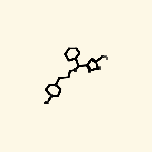 CC(=O)N1CCN(CCCOC(c2cc(C)[nH]n2)C2CCCCC2)CC1